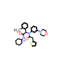 Cc1ccccc1C(C(=O)NC1CCCCC1)N(C(=O)Cc1cccs1)c1cccc(N2CCOCC2)c1